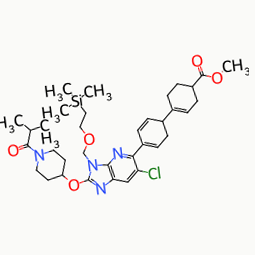 COC(=O)C1CC=C(C2C=CC(c3nc4c(cc3Cl)nc(OC3CCN(C(=O)C(C)C)CC3)n4COCC[Si](C)(C)C)=CC2)CC1